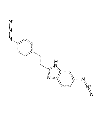 [N-]=[N+]=Nc1ccc(C=Cc2nc3ccc(N=[N+]=[N-])cc3[nH]2)cc1